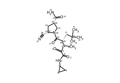 CN(C(=O)C(=O)NC1CC1)[C@@H](CC(C)(C)C)C(=O)N1C[C@@H](C(N)=O)C[C@H]1C#N